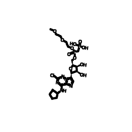 COCCOCCOP(=O)(CP(=O)(O)O)OC[C@H]1O[C@@H](c2cnc3c(NC4CCCC4)nc(Cl)nn23)[C@H](O)[C@@H]1O